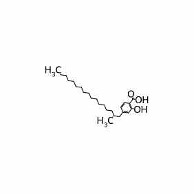 CCCCCCCCCCCCCCCC(C)Cc1ccc(C(=O)O)c(O)c1